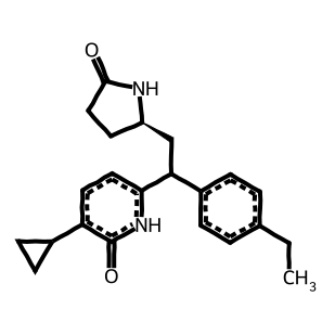 CCc1ccc(C(C[C@H]2CCC(=O)N2)c2ccc(C3CC3)c(=O)[nH]2)cc1